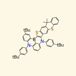 CC(C)(C)c1ccc(N2c3ccc(C(C)(C)C)cc3B3c4sc5cc6c(cc5c4N(c4ccc(C(C)(C)C)cc4)c4cccc2c43)Sc2ccccc2C6(C)C)cc1